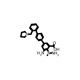 CN(N)c1c(N)cc(-c2ccc(-c3ccccc3CN3CCCC3)cc2)cc1C(=O)O